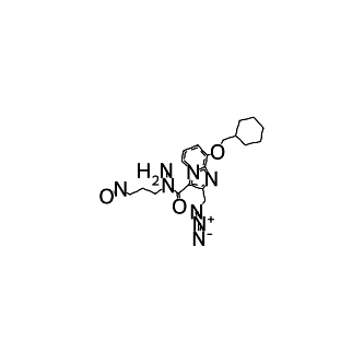 [N-]=[N+]=NCc1nc2c(OCC3CCCCC3)cccn2c1C(=O)N(N)CCCN=O